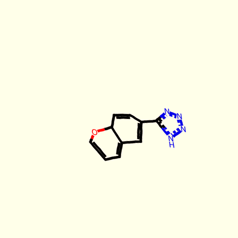 C1=COC2C=CC(c3nnn[nH]3)=CC2=C1